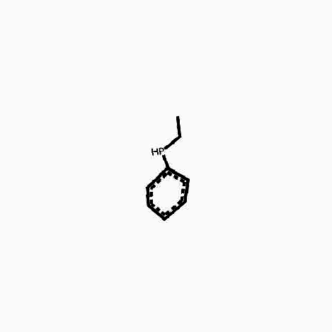 CCPc1ccccc1